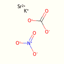 O=C([O-])[O-].O=[N+]([O-])[O-].[K+].[Sr+2]